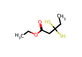 CCOC(=O)CC(S)(S)CC